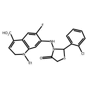 CCN1CC=C(C(=O)O)c2cc(F)c(NN3C(=O)CSC3c3ccccc3Cl)cc21